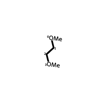 [CH]OCCOC